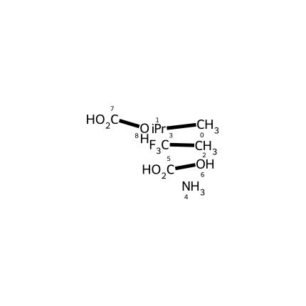 CC(C)C.CC(F)(F)F.N.O=C(O)O.O=C(O)O